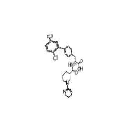 O=C(N[C@@H](Cc1ccc(-c2cc(Cl)ccc2Cl)cc1)C(=O)O)C1CCCN(c2ncccn2)C1